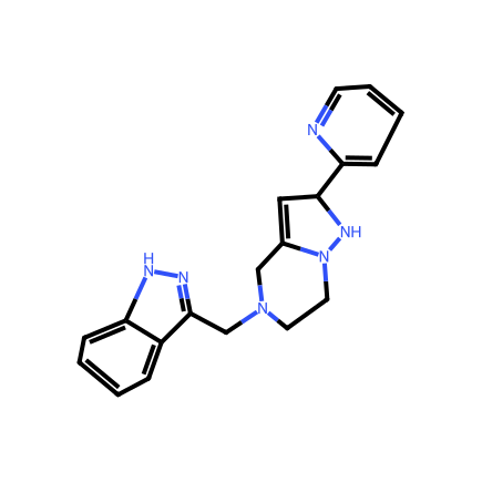 C1=C2CN(Cc3n[nH]c4ccccc34)CCN2NC1c1ccccn1